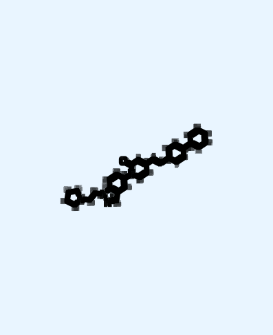 O=c1cc(C=Cc2ccc(-c3ccccc3)cc2)ccn1-c1ccc2c(cnn2CCN2CCCC2)c1